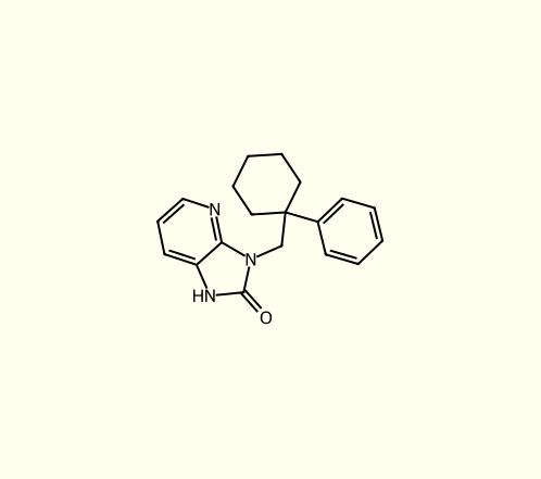 O=c1[nH]c2cccnc2n1CC1(c2ccccc2)CCCCC1